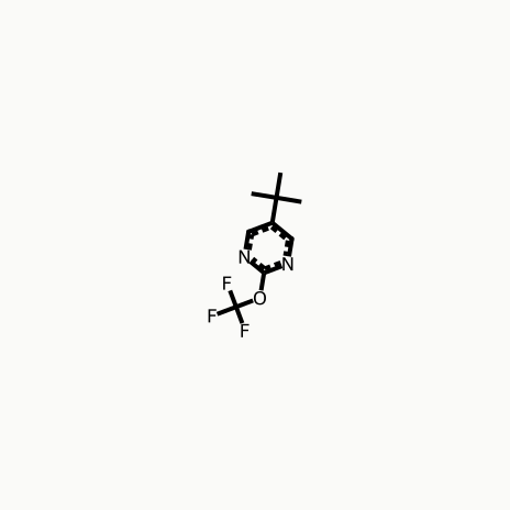 CC(C)(C)c1cnc(OC(F)(F)F)nc1